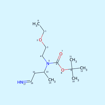 CCOCCN(C(=O)OC(C)(C)C)C(C)CC=N